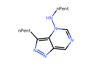 CCCCCNn1cncc2nnc(CCCCC)c1-2